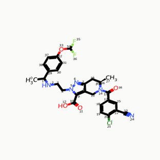 CC(NCCn1nc2c(c1C(=O)O)CN(C(=O)c1ccc(Cl)c(C#N)c1)[C@H](C)C2)c1ccc(OC(F)F)cc1